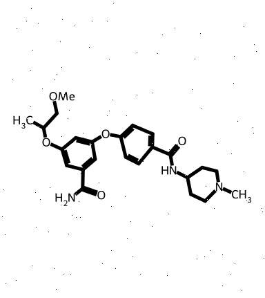 COCC(C)Oc1cc(Oc2ccc(C(=O)NC3CCN(C)CC3)cc2)cc(C(N)=O)c1